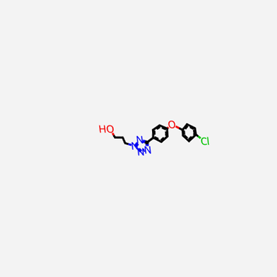 OCCCn1nnc(-c2ccc(Oc3ccc(Cl)cc3)cc2)n1